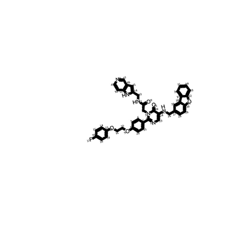 O=C(Cn1c(-c2ccc(OCCOc3ccc(F)cc3)cc2)ncc(NCc2ccc3oc4ccccc4c3c2)c1=O)NCc1cc2cnccc2[nH]1